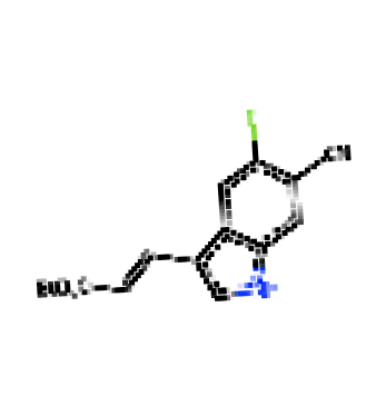 CCOC(=O)/C=C/c1c[nH]c2cc(C#N)c(F)cc12